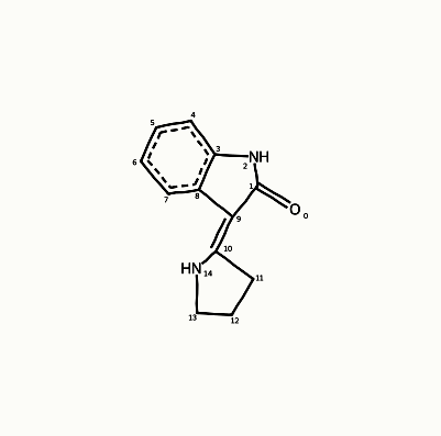 O=C1Nc2ccccc2C1=C1CCCN1